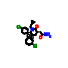 CC1([C@@H]2[C@@H](C3=CC(Cl)=C=CC=C3)C[C@@H](CC(N)=O)C(=O)N2CC2CC2)C=CC(Cl)=CC1